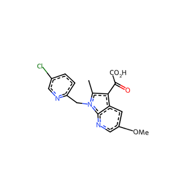 COc1cnc2c(c1)c(C(=O)C(=O)O)c(C)n2Cc1ccc(Cl)cn1